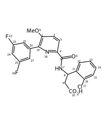 COc1ccc(C(=O)NC(CC(=O)O)c2ccccc2Cl)nc1-c1cc(F)cc(F)c1